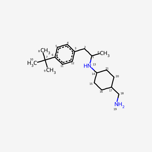 CC(Cc1ccc(C(C)(C)C)cc1)NC1CCC(CN)CC1